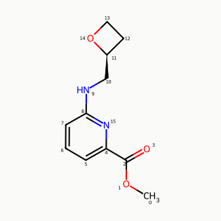 COC(=O)c1cccc(NC[C@@H]2CCO2)n1